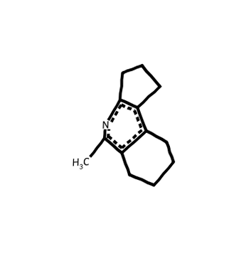 Cc1nc2c(c3c1CCCC3)CCC2